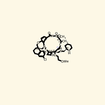 COCCO[C@@]1(CNC[C@H]2CCCCN2)/C=C/C[C@H](C)[C@@H](C)S(=O)(=O)NC(=O)c2ccc3c(c2)N(C[C@@H]2CC[C@H]21)C[C@@]1(CCCc2cc(Cl)ccc21)CO3